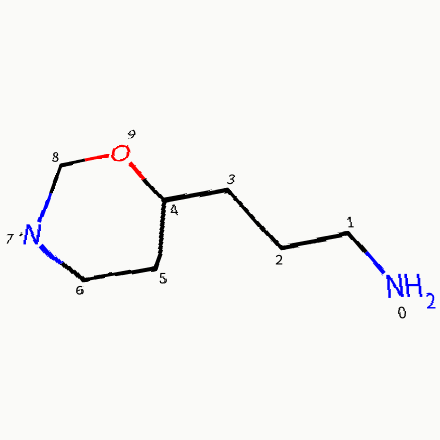 NCCCC1CC[N]CO1